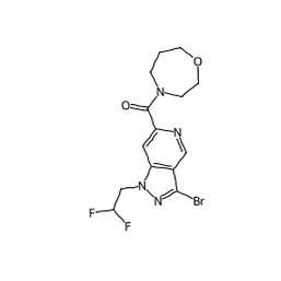 O=C(c1cc2c(cn1)c(Br)nn2CC(F)F)N1CCCOCC1